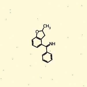 CC1Cc2c(cccc2C(=N)c2ccccc2)O1